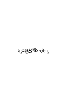 C=CC(=O)OCCCc1ccc2c(c1)ONC(c1ccc(OC(=O)C=C)cc1)=C2